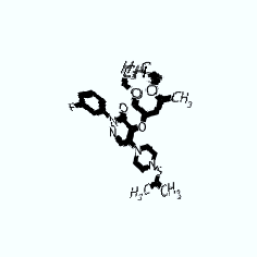 CCOCC(CC(C)OCC)Oc1c(N2CCN(SC(C)C)CC2)cnn(-c2cccc(F)c2)c1=O